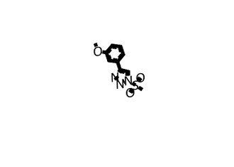 COc1cccc(-c2cn(S(C)(=O)=O)nn2)c1